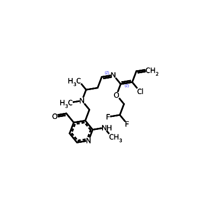 C=C/C(Cl)=C(\N=C/CC(C)N(C)Cc1c(C=O)ccnc1NC)OCC(F)F